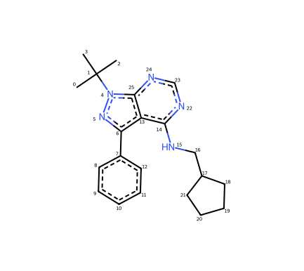 CC(C)(C)n1nc(-c2ccccc2)c2c(NCC3CCCC3)ncnc21